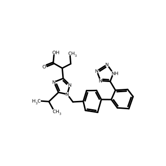 CCC(C(=O)O)c1nc(C(C)C)n(Cc2ccc(-c3ccccc3-c3nnn[nH]3)cc2)n1